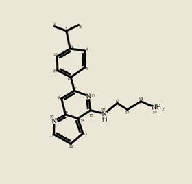 CC(C)c1ccc(-c2cc3ncccc3c(NCCCN)n2)cc1